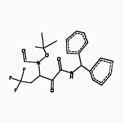 CC(C)(C)ON(C=O)C(CC(F)(F)F)C(=O)C(=O)NC(c1ccccc1)c1ccccc1